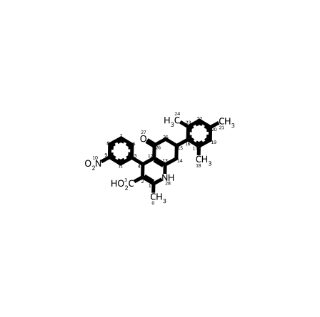 CC1=C(C(=O)O)C(c2cccc([N+](=O)[O-])c2)C2=C(CC(c3c(C)cc(C)cc3C)CC2=O)N1